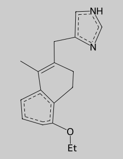 CCOc1cccc2c1CCC(Cc1c[nH]cn1)=C2C